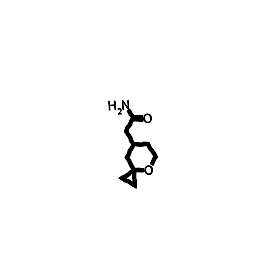 NC(=O)CC1CCOC2(CC2)C1